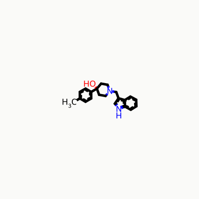 Cc1ccc(C2(O)CCN(Cc3c[nH]c4ccccc34)CC2)cc1